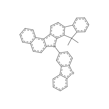 CC1(C)c2ccccc2-c2ccc3c4c5ccccc5ccc4n(-c4ccc5oc6ccccc6c5c4)c3c21